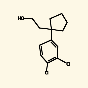 OCCC1(c2ccc(Cl)c(Cl)c2)CCCC1